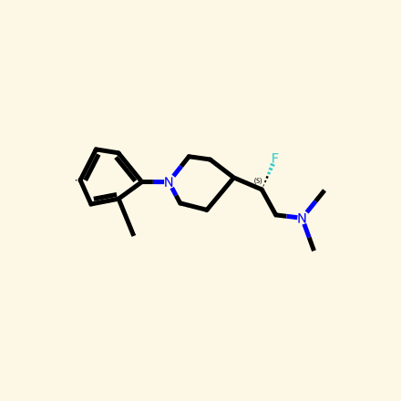 Cc1c[c]ccc1N1CCC([C@H](F)CN(C)C)CC1